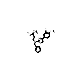 C=C(CCN(CC1=CCCC=C1)c1nc(-c2ccc(C)c(Cl)c2)cs1)OCC